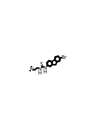 CN(C)CCNC(=S)Nc1ccc2c(c1)Cc1cc(Br)ccc1-2